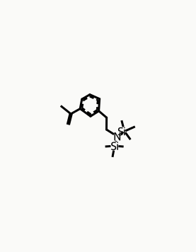 C=C(C)c1cccc(CCN([Si](C)(C)C)[Si](C)(C)C)c1